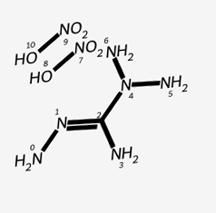 N/N=C(\N)N(N)N.O=[N+]([O-])O.O=[N+]([O-])O